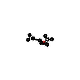 CC1(C)c2cc(C#Cc3ccc(N(c4ccccc4)c4ccccc4)cc3)ccc2-c2cc3c(cc21)c1ccccc1n3-c1nc(-c2ccccc2)cc(-c2ccccc2)n1